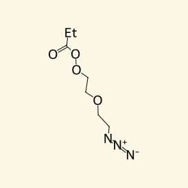 CCC(=O)OOCCOCCN=[N+]=[N-]